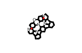 c1ccc2c(c1)Oc1ccccc1N2c1c2c(cc3c4cccc5c6ccncc6n(c13)c54)c1cccc3c4ccncc4n2c31